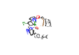 N#Cc1ccc(COc2cccc(-c3cc(F)c(Cc4nc5ccc(C(=O)O)cc5n4CC4CCO4)cc3F)n2)s1